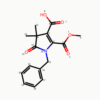 COC(=O)C1=C(C(=O)O)C(C)(C)C(=O)N1Cc1ccccc1